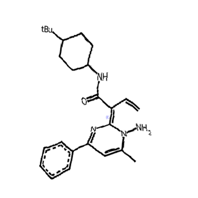 C=C/C(C(=O)NC1CCC(C(C)(C)C)CC1)=C1/N=C(c2ccccc2)C=C(C)N1N